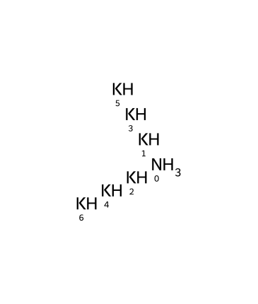 N.[KH].[KH].[KH].[KH].[KH].[KH]